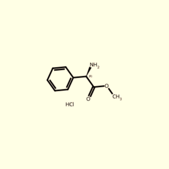 COC(=O)[C@H](N)c1ccccc1.Cl